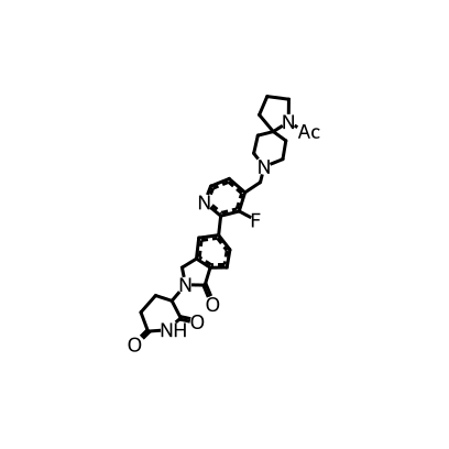 CC(=O)N1CCCC12CCN(Cc1ccnc(-c3ccc4c(c3)CN(C3CCC(=O)NC3=O)C4=O)c1F)CC2